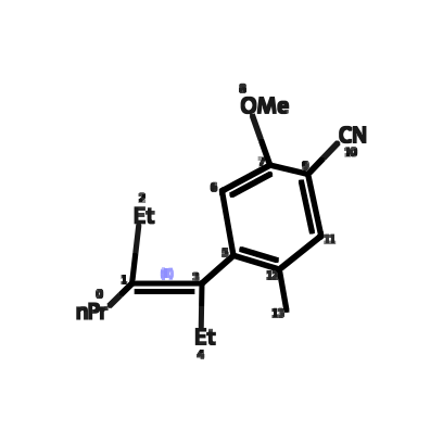 CCC/C(CC)=C(\CC)c1cc(OC)c(C#N)cc1C